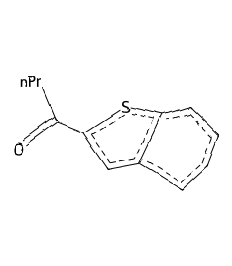 CCCC(=O)c1cc2ccccc2s1